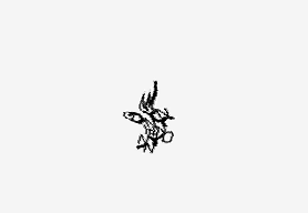 CCn1ncc2c(NC3CCOCC3)c(CNC(=O)c3cnc(C)nc3)c(C)nc21